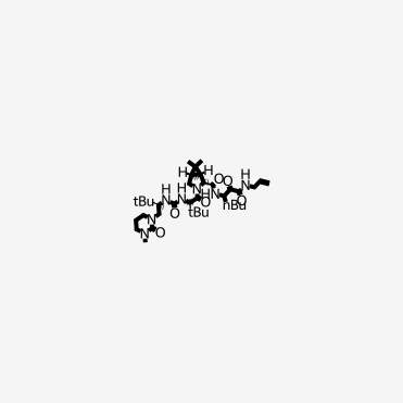 C=CCNC(=O)C(=O)C(CCCC)NC(=O)[C@@H]1[C@@H]2[C@H](CN1C(=O)[C@@H](NC(=O)N[C@H](CN1CCCN(C)C1=O)C(C)(C)C)C(C)(C)C)C2(C)C